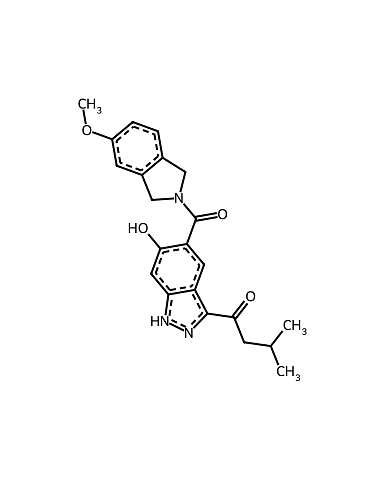 COc1ccc2c(c1)CN(C(=O)c1cc3c(C(=O)CC(C)C)n[nH]c3cc1O)C2